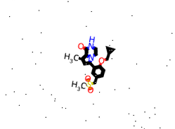 Cc1cc(-c2cc(CS(C)(=O)=O)ccc2OCC2CC2)n2cc[nH]c(=O)c12